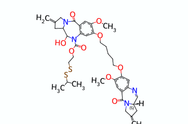 C=C1CC2C(O)N(C(=O)OCCSSC(C)C)c3cc(OCCCCCOc4cc5c(cc4OC)C(=O)N4CC(=C)C[C@H]4C=N5)c(OC)cc3C(=O)N2C1